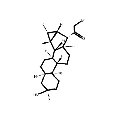 C[C@H]1[C@@H]2[C@H]1[C@H](C(=O)CBr)[C@@]1(C)CC[C@H]3[C@@H](CC[C@@H]4C[C@](C)(O)CC[C@@H]43)[C@H]21